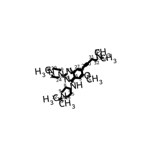 COc1cc2c(NC3CCN(C(C)C)CC3)nc(N3CCN(C)CC3)nc2cc1C#CCCN(C)C